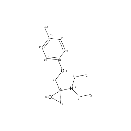 CCN(CC)C1(COc2ccc(C)cc2)CO1